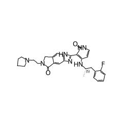 C[C@@H](Cc1ccccc1F)Nc1cc[nH]c(=O)c1-c1nc2cc3c(cc2[nH]1)CN(CCN1CCCC1)C3=O